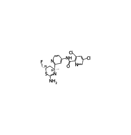 C[C@@]1(c2cc(NC(=O)c3ncc(Cl)cc3Cl)ccn2)C[C@@H](CF)SC(N)=N1